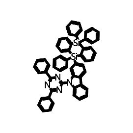 c1ccc(-c2nc(-c3ccccc3)nc(-n3c4ccccc4c4ccc([Si]5(c6ccccc6)c6ccccc6[Si](c6ccccc6)(c6ccccc6)c6ccccc65)cc43)n2)cc1